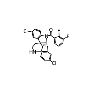 O=C(c1cccc(F)c1F)N1c2ccc(Cl)cc2C2(CCNCC2)[C@H]1Cc1cccc(Cl)c1